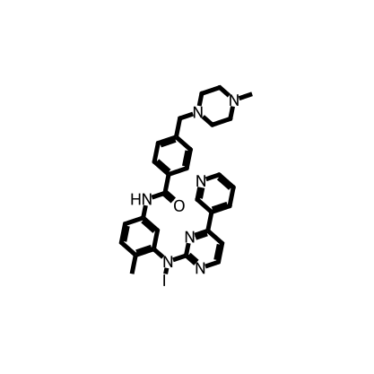 Cc1ccc(NC(=O)c2ccc(CN3CCN(C)CC3)cc2)cc1N(I)c1nccc(-c2cccnc2)n1